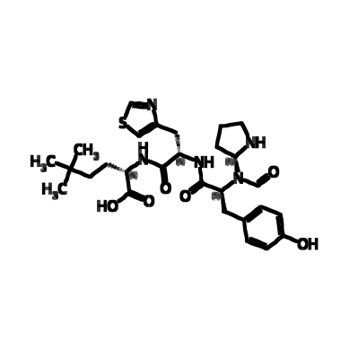 CC(C)(C)CC[C@H](NC(=O)[C@H](Cc1cscn1)NC(=O)[C@H](Cc1ccc(O)cc1)N(C=O)[C@H]1CCCN1)C(=O)O